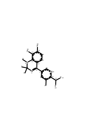 Cc1cc(C2=NC(C)(C)N(C)c3c2ccc(F)c3F)cnc1C(F)F